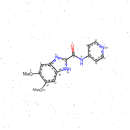 COc1cc2nc(C(=O)Nc3ccncc3)[nH]c2cc1OC